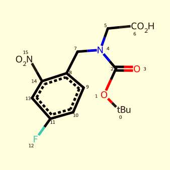 CC(C)(C)OC(=O)N(CC(=O)O)Cc1ccc(F)cc1[N+](=O)[O-]